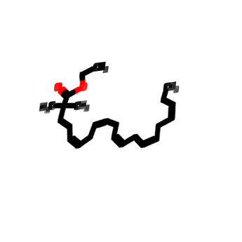 CC/C=C\C/C=C\C/C=C\C/C=C\C/C=C\CCC(C)(C)C(=O)OCC